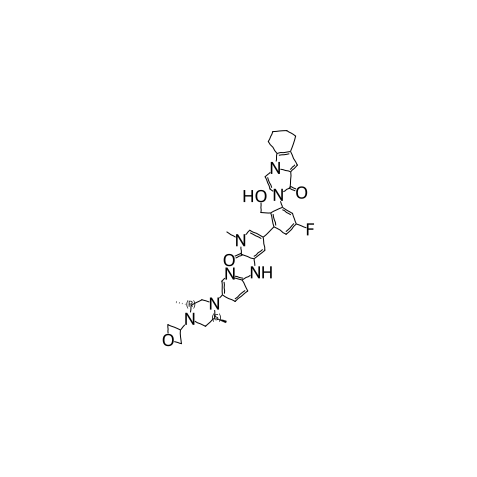 C[C@@H]1CN(c2ccc(Nc3cc(-c4cc(F)cc(-n5ccn6c7c(cc6c5=O)CCCC7)c4CO)cn(C)c3=O)nc2)[C@@H](C)CN1C1COC1